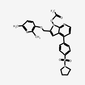 Cc1ccc(OCc2cc3c(-c4ccc(S(=O)(=O)N5CCCC5)cc4)ccnc3n2OC(=O)C(F)(F)F)c(C)n1